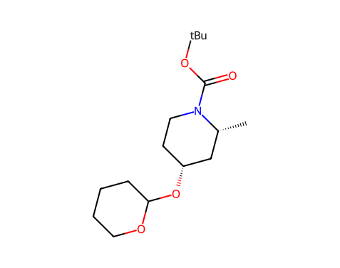 C[C@@H]1C[C@H](OC2CCCCO2)CCN1C(=O)OC(C)(C)C